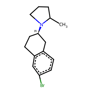 CC1CCCN1[C@@H]1CCc2cc(Br)ccc2C1